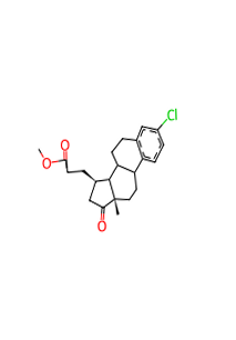 COC(=O)CC[C@@H]1CC(=O)[C@@]2(C)CCC3c4ccc(Cl)cc4CCC3C12